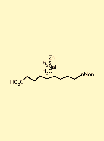 CCCCCCCCCCCCCCCCCC(=O)O.O.S.[NaH].[Zn]